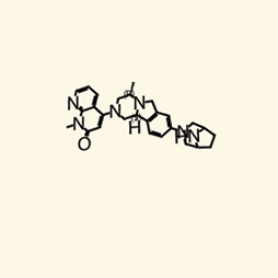 C[C@@H]1CN(c2cc(=O)n(C)c3ncccc23)C[C@@H]2c3ccc(N4CC5CCC(C4)N5)cc3CN12